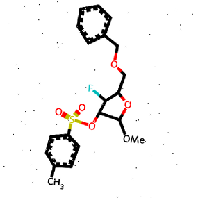 COC1OC(COCc2ccccc2)C(F)C1OS(=O)(=O)c1ccc(C)cc1